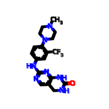 CN1CCN(c2ccc(Nc3ncc4c(n3)NC(=O)NC4)cc2C(F)(F)F)CC1